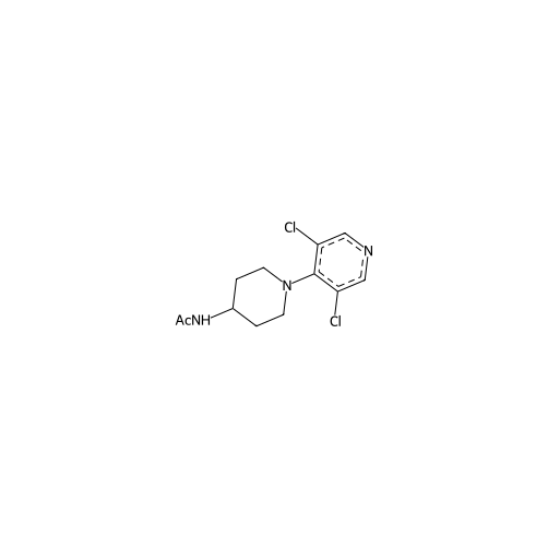 CC(=O)NC1CCN(c2c(Cl)cncc2Cl)CC1